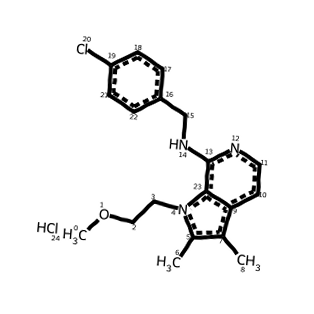 COCCn1c(C)c(C)c2ccnc(NCc3ccc(Cl)cc3)c21.Cl